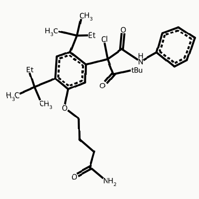 CCC(C)(C)c1cc(C(C)(C)CC)c(C(Cl)(C(=O)Nc2ccccc2)C(=O)C(C)(C)C)cc1OCCCC(N)=O